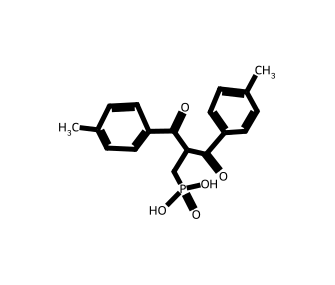 Cc1ccc(C(=O)C(CP(=O)(O)O)C(=O)c2ccc(C)cc2)cc1